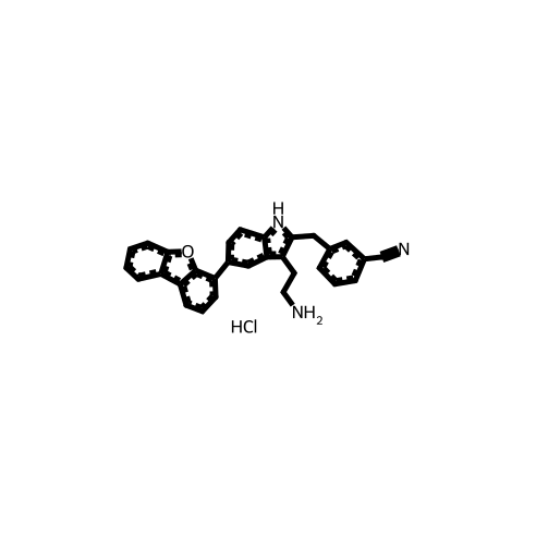 Cl.N#Cc1cccc(Cc2[nH]c3ccc(-c4cccc5c4oc4ccccc45)cc3c2CCN)c1